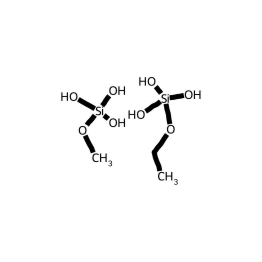 CCO[Si](O)(O)O.CO[Si](O)(O)O